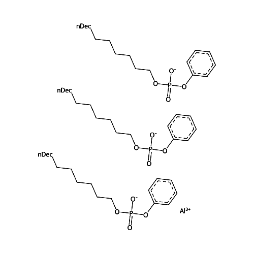 CCCCCCCCCCCCCCCCOP(=O)([O-])Oc1ccccc1.CCCCCCCCCCCCCCCCOP(=O)([O-])Oc1ccccc1.CCCCCCCCCCCCCCCCOP(=O)([O-])Oc1ccccc1.[Al+3]